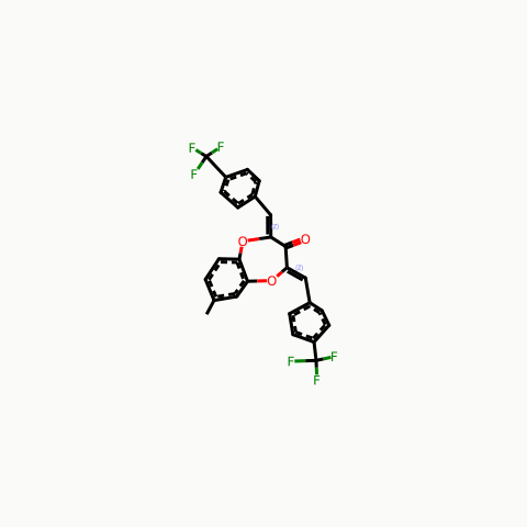 Cc1ccc2c(c1)O/C(=C\c1ccc(C(F)(F)F)cc1)C(=O)/C(=C/c1ccc(C(F)(F)F)cc1)O2